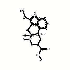 COC(=O)C1C[C@@H]2c3cccc4[nH]c(CS)c(c34)C[C@H]2N(C)C1